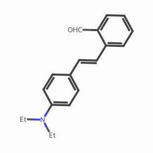 CCN(CC)c1ccc(C=Cc2ccccc2C=O)cc1